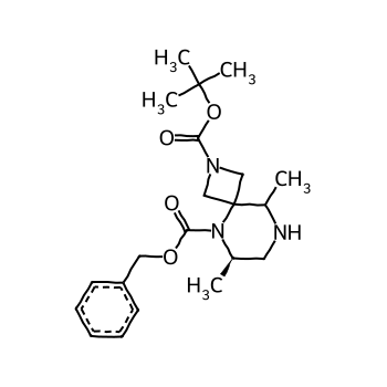 CC1NC[C@@H](C)N(C(=O)OCc2ccccc2)C12CN(C(=O)OC(C)(C)C)C2